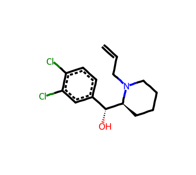 C=CCN1CCCC[C@H]1[C@H](O)c1ccc(Cl)c(Cl)c1